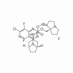 CC(C)(C)OC(=O)N[C@H]1C[C@@H]2CC[C@@H]([C@@H]1F)N2c1nc(OC[C@@]23CCCN2C[C@H](F)C3)nc2c(F)c(Cl)ncc12